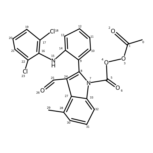 CC(=O)OOC(=O)n1c(-c2ccccc2Nc2c(Cl)cccc2Cl)c(C=O)c2c(C)cccc21